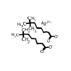 CC(C)(C)CCCCCC(=O)[O-].CC(C)(C)CCCCCC(=O)[O-].[Ag+2]